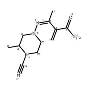 C=C(C(N)=O)/C(C)=N\N1CCB(C#N)C(C)C1